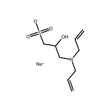 C=CCN(CC=C)CC(O)CS(=O)(=O)[O-].[Na+]